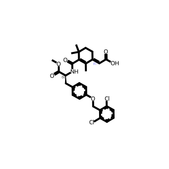 COC(=O)[C@H](Cc1ccc(OCc2c(Cl)cccc2Cl)cc1)NC(=O)C1=C(C)/C(=C/C(=O)O)CCC1(C)C